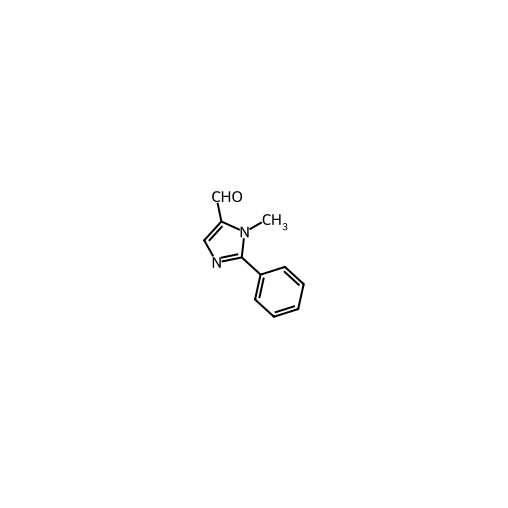 Cn1c(C=O)cnc1-c1ccccc1